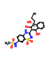 CC(C)CC[C@]1(O)C(=O)C(C2=NS(=O)(=O)c3cc(NS(C)(=O)=O)ccc3N2)=C(O)c2ccccc21